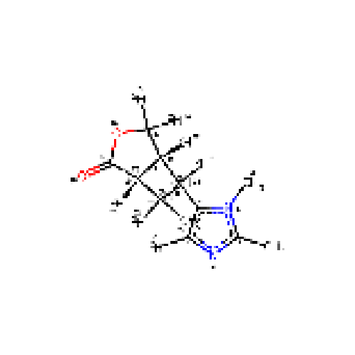 [2H]c1nc(C)n(C)c1C([2H])([2H])[C@@]1([2H])C([2H])([2H])OC(=O)[C@@]1([2H])C([2H])([2H])C